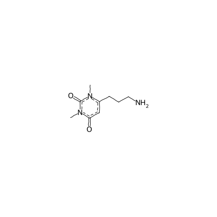 Cn1c(CCCN)cc(=O)n(C)c1=O